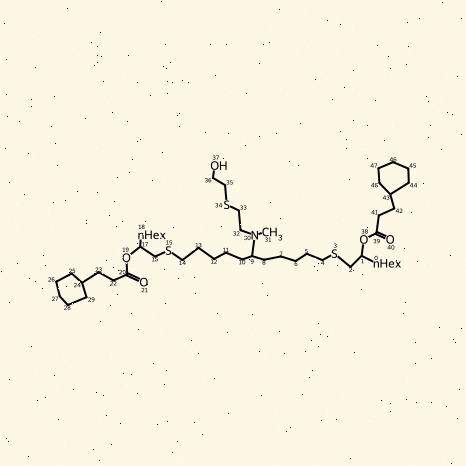 CCCCCCC(CSCCCCCC(CCCCCSCC(CCCCCC)OC(=O)CCC1CCCCC1)N(C)CCSCCO)OC(=O)CCC1CCCCC1